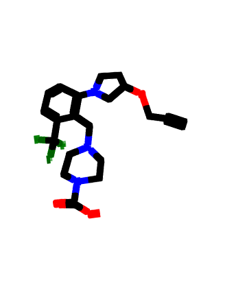 C#CCOC1CCN(c2cccc(C(F)(F)F)c2CN2CCN(C(=O)O)CC2)C1